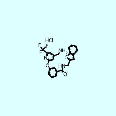 Cl.NCc1cc(Oc2cccc(C(=O)NCc3cc4ccccc4s3)c2)nc(C(F)(F)F)c1